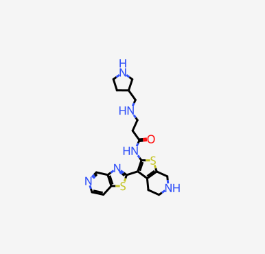 O=C(CCNCC1CCNC1)Nc1sc2c(c1-c1nc3cnccc3s1)CCNC2